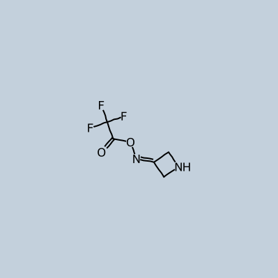 O=C(ON=C1CNC1)C(F)(F)F